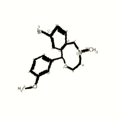 COc1cccc(C2OCCN(C)Cc3ccc(Br)cc32)c1